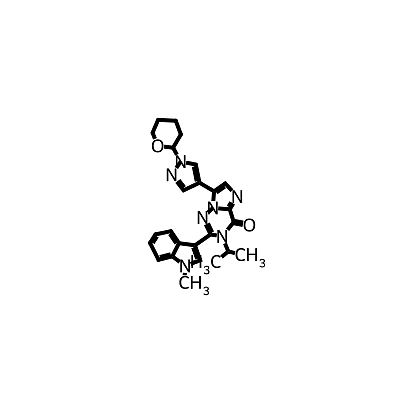 CC(C)n1c(-c2cn(C)c3ccccc23)nn2c(-c3cnn(C4CCCCO4)c3)cnc2c1=O